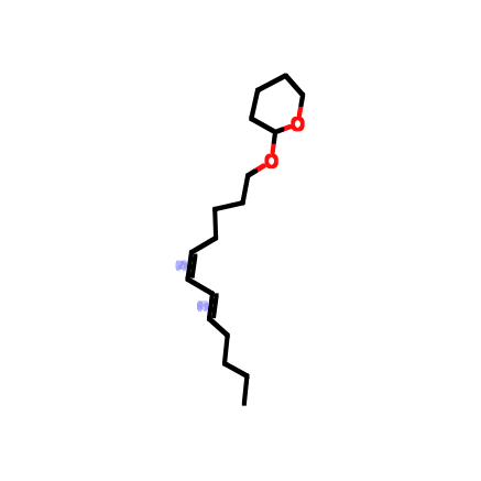 CCCC/C=C/C=C\CCCCOC1CCCCO1